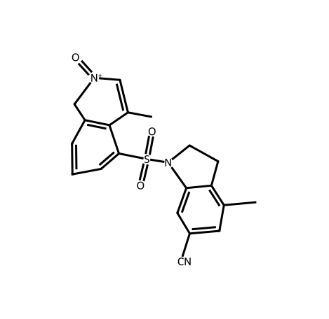 CC1=C[N+](=O)Cc2cccc(S(=O)(=O)N3CCc4c(C)cc(C#N)cc43)c21